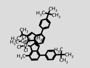 CC1=Cc2c(-c3ccc(C(C)(C)C)cc3)ccc(C)c2[CH]1[Zr]([Cl])([Cl])([CH]1C(C(C)C)=Cc2c(-c3ccc(C(C)(C)C)cc3)cccc21)[GeH]([CH3])[CH3]